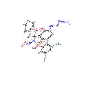 NN=CNc1cccc([C@@](C(=O)O)(C(=C=O)c2ccccc2)N(N)S(=O)(=O)c2cc(Cl)cc(Cl)c2)c1